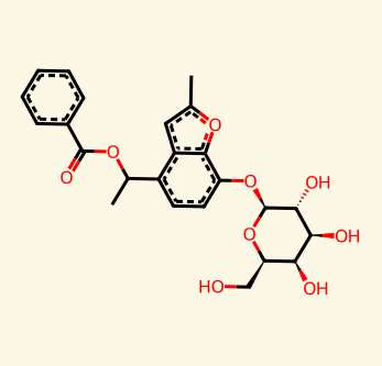 Cc1cc2c(C(C)OC(=O)c3ccccc3)ccc(O[C@@H]3O[C@H](CO)[C@H](O)[C@H](O)[C@H]3O)c2o1